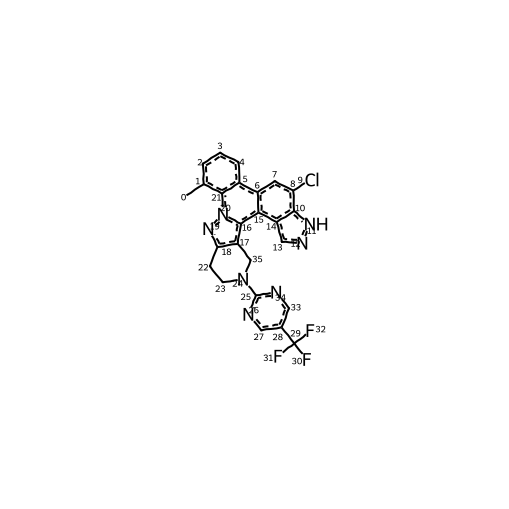 Cc1cccc2c3cc(Cl)c4[nH]ncc4c3c3c4c(nn3c12)CCN(c1ncc(C(F)(F)F)cn1)C4